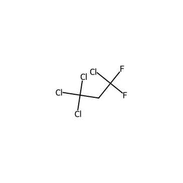 FC(F)(Cl)CC(Cl)(Cl)Cl